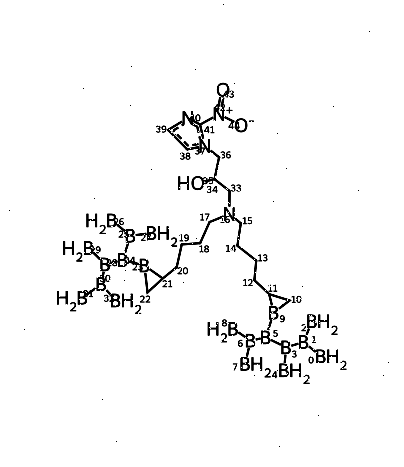 BB(B)B(B)B(B(B)B)B1CC1CCCCN(CCCCC1CB1B(B(B)B)B(B)B(B)B)CC(O)Cn1ccnc1[N+](=O)[O-]